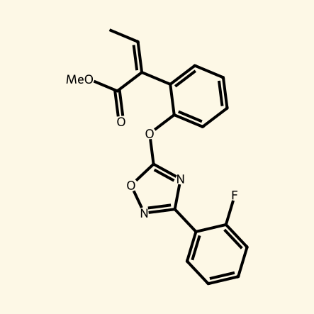 CC=C(C(=O)OC)c1ccccc1Oc1nc(-c2ccccc2F)no1